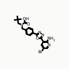 CC(C)(C)CN(Cc1ccc(-c2nnc(-c3cc(Br)cnc3N)o2)cc1)C(=O)O